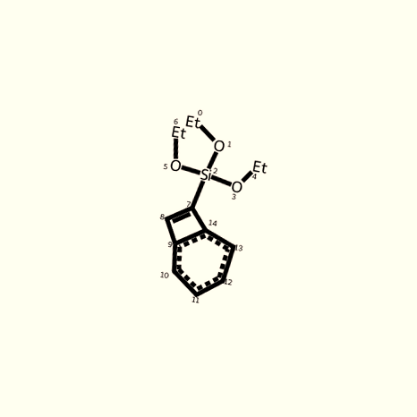 CCO[Si](OCC)(OCC)C1=Cc2ccccc21